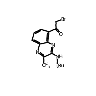 CC(C)(C)Nc1nc2c(C(=O)CBr)cccc2nc1C(F)(F)F